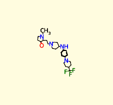 CCN1CCC(=O)C1CCN1CCC(Nc2ccc(N3CCC(C(F)(F)F)CC3)cc2)CC1